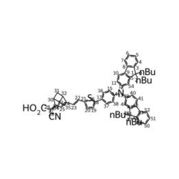 CCCCC1(CCCC)c2ccccc2-c2ccc(N(c3ccc(-c4ccc(/C=C/C5=CC(=C(\C#N)C(=O)O)/C6CC5C6(C)C)s4)cc3)c3ccc4c(c3)C(CCCC)(CCCC)c3ccccc3-4)cc21